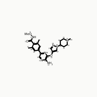 CONC(=O)c1c(C)cc(-c2cnc(N)c(Oc3cnn(C4CCN(C)CC4)c3)n2)cc1C